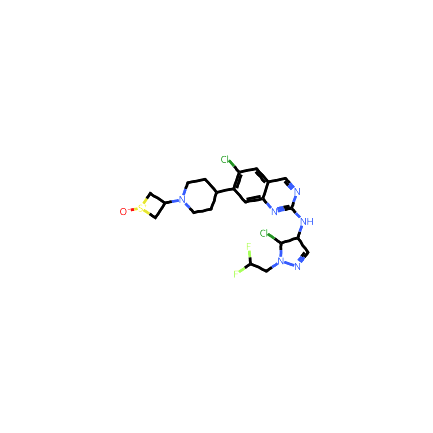 [O-][S+]1CC(N2CCC(c3cc4nc(NC5C=NN(CC(F)F)C5Cl)ncc4cc3Cl)CC2)C1